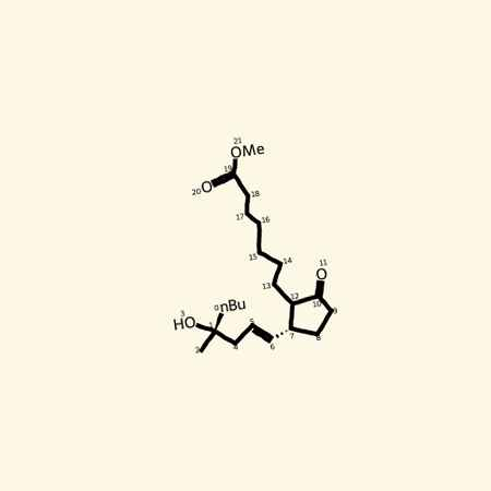 CCCC[C@@](C)(O)C/C=C/[C@H]1CCC(=O)C1CCCCCCC(=O)OC